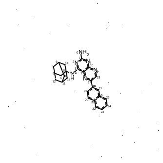 Nc1nc(NC23CC4CC(CC(C4)C2)C3)c2nc(-c3ccc4ccccc4c3)cnc2n1